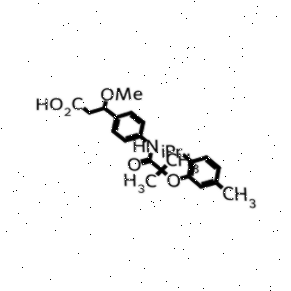 COC(CC(=O)O)c1ccc(NC(=O)C(C)(C)Oc2cc(C)ccc2C(C)C)cc1